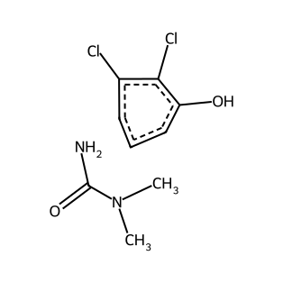 CN(C)C(N)=O.Oc1cccc(Cl)c1Cl